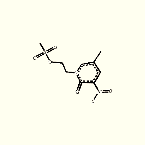 Cc1cc([N+](=O)[O-])c(=O)n(CCOS(C)(=O)=O)c1